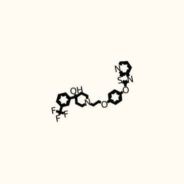 OC1(c2cccc(C(F)(F)F)c2)CCN(CCOc2ccc(Oc3nc4cccnc4s3)cc2)CC1